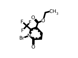 CCOC(=O)c1ccc(=O)n(Br)c1C(F)(F)F